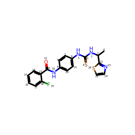 CC(NC(=S)Nc1ccc(NC(=O)c2ccccc2F)cc1)c1nccs1